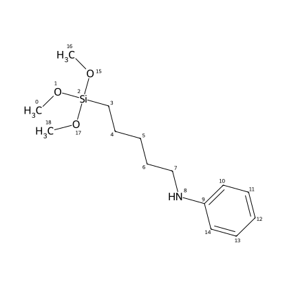 CO[Si](CCCCCNc1ccccc1)(OC)OC